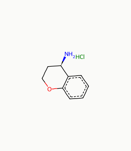 Cl.N[C@@H]1CCOc2ccccc21